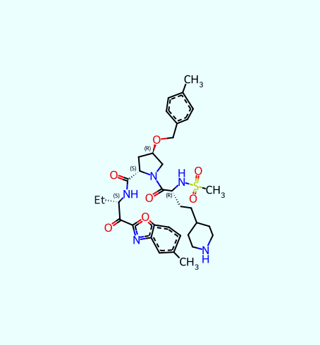 CC[C@H](NC(=O)[C@@H]1C[C@@H](OCc2ccc(C)cc2)CN1C(=O)[C@@H](CCC1CCNCC1)NS(C)(=O)=O)C(=O)c1nc2cc(C)ccc2o1